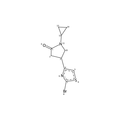 O=C1CC(c2csc(Br)n2)CN1C1CC1